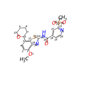 COc1ccc(C2CCCCO2)c2sc(NC(=O)c3ccnc(S(C)(=O)=O)c3)nc12